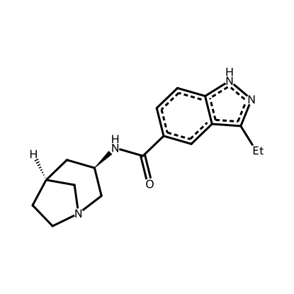 CCc1n[nH]c2ccc(C(=O)N[C@@H]3C[C@@H]4CCN(C4)C3)cc12